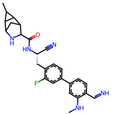 CNc1cc(-c2ccc(C[C@@H](C#N)NC(=O)C3NC4CC3C3C(C)C43)c(F)c2)ccc1C=N